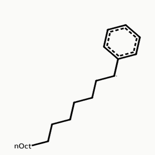 CCCCCCCCCCCCCC[CH]c1ccccc1